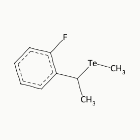 C[Te]C(C)c1ccccc1F